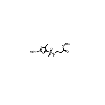 CC(=O)Nc1nc(S(=O)(=O)NCCC(=O)OC(C)(C)C)c(C)s1